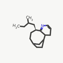 CCC(C)C[C@@H]1CCC2CCC(C2)C2CC=CN=C21